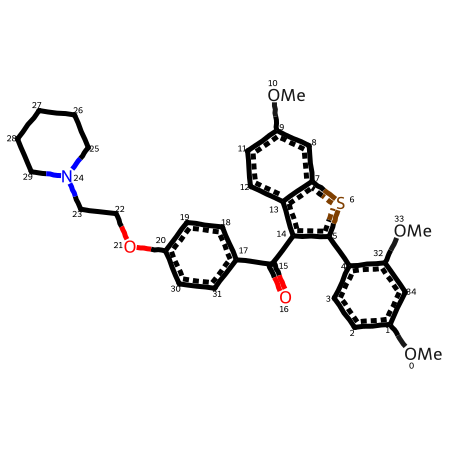 COc1ccc(-c2sc3cc(OC)ccc3c2C(=O)c2ccc(OCCN3CCCCC3)cc2)c(OC)c1